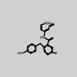 C=C/C=C(\C=C/NC)NC(=C)c1cc(F)ccc1Cc1ccc(CCC)cc1